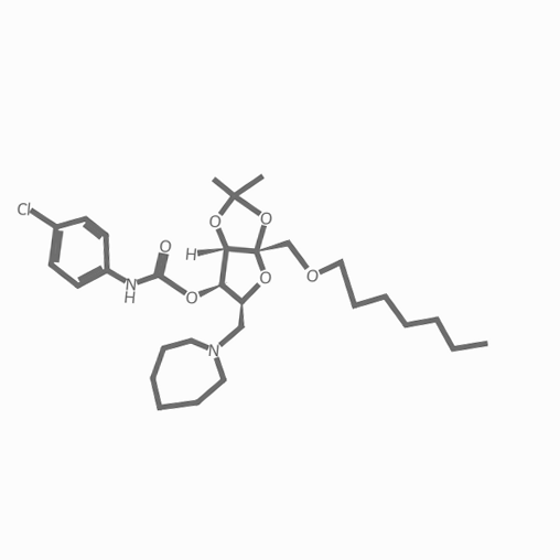 CCCCCCCOC[C@@]12O[C@@H](CN3CCCCCC3)[C@@H](OC(=O)Nc3ccc(Cl)cc3)[C@@H]1OC(C)(C)O2